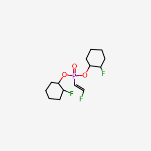 O=P(C=CF)(OC1CCCCC1F)OC1CCCCC1F